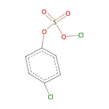 O=S(=O)(OCl)Oc1ccc(Cl)cc1